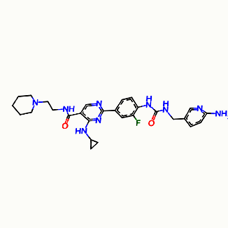 Nc1ccc(CNC(=O)Nc2ccc(-c3ncc(C(=O)NCCN4CCCCC4)c(NC4CC4)n3)cc2F)cn1